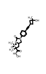 CC1(O)CC(C#Cc2ccc(N3CC(CC(C)(C(=O)NO)S(C)(=O)=O)OC3=O)cc2)C1